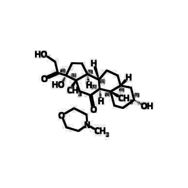 CN1CCOCC1.C[C@]12CC[C@@H](O)C[C@H]1CC[C@@H]1[C@@H]2C(=O)C[C@@]2(C)[C@H]1CC[C@]2(O)C(=O)CO